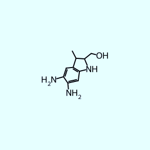 CC1c2cc(N)c(N)cc2NC1CO